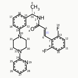 C[C@H](NC(=O)/C=C/c1c(F)cccc1F)c1cccc(N2CCN(c3ccccn3)CC2)c1